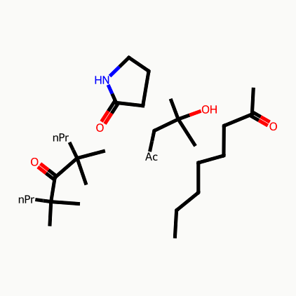 CC(=O)CC(C)(C)O.CCCC(C)(C)C(=O)C(C)(C)CCC.CCCCCCC(C)=O.O=C1CCCN1